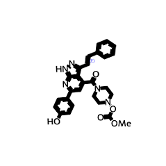 COC(=O)ON1CCN(C(=O)c2cc(-c3ccc(O)cc3)nc3[nH]nc(/C=C/c4ccccc4)c23)CC1